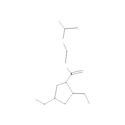 CCC1CC(CC)C(C(=O)OCOC(C)C)C1